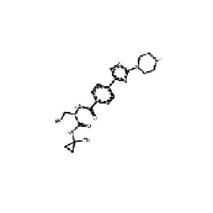 CC(C)CC(NC(=O)c1ccc(-c2csc(N3CCNCC3)n2)cc1)C(=O)NC1(C#N)CC1